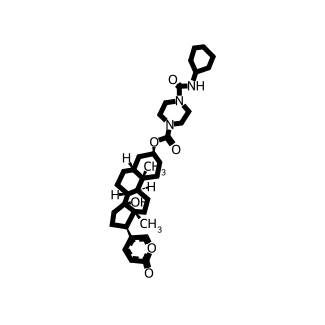 C[C@]12CC[C@H](OC(=O)N3CCN(C(=O)NC4CCCCC4)CC3)C[C@H]1CC[C@@H]1[C@@H]2CC[C@]2(C)[C@@H](c3ccc(=O)oc3)CC[C@]12O